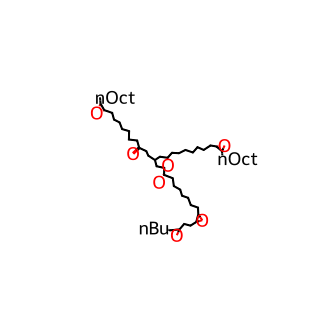 CCCCCCCCC1OC1CCCCCCCC(=O)CCC(CCC(=O)CCCCCCCC1OC1CCC1OC1CCCC)CC(=O)CCCCCCCC1OC1CCCCCCCC